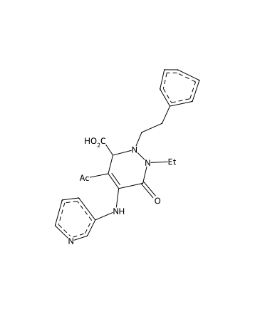 CCN1C(=O)C(Nc2cccnc2)=C(C(C)=O)C(C(=O)O)N1CCc1ccccc1